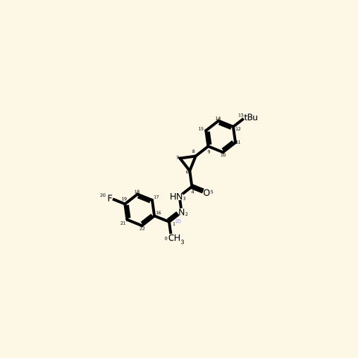 C/C(=N/NC(=O)C1CC1c1ccc(C(C)(C)C)cc1)c1ccc(F)cc1